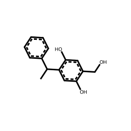 CC(c1ccccc1)c1cc(O)c(CO)cc1O